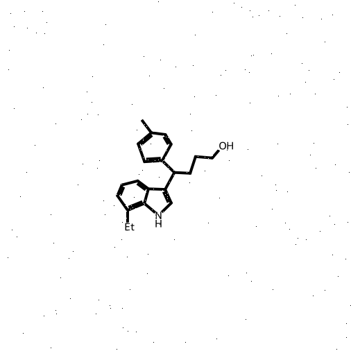 CCc1cccc2c(C(CCCO)c3ccc(C)cc3)c[nH]c12